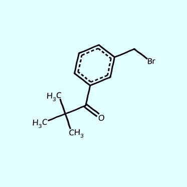 CC(C)(C)C(=O)c1cccc(CBr)c1